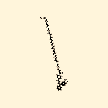 COCCOCCOCCOCCOCCOCCOCCOCCOCCOCCOCCOCCOC(=O)N1CCN(CCCN2c3ccccc3Sc3ccc(C(F)(F)F)cc32)CC1